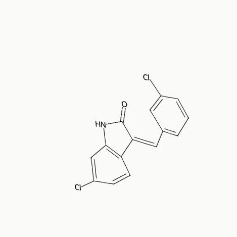 O=C1Nc2cc(Cl)ccc2C1=Cc1cccc(Cl)c1